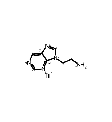 I.NCCn1cnc2cncnc21